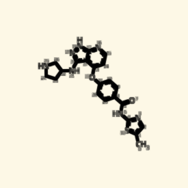 Cc1cnc(NC(=O)c2ccc(Oc3ccnc4[nH]nc(NC5CCNC5)c34)cc2)s1